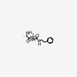 C[C@H](N)C(=O)NNC(=O)NCCc1ccccc1